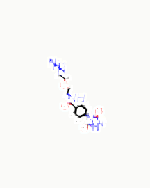 [N-]=[N+]=NCCOCCNC(=O)c1ccc(N2C(=O)N=NC2=O)cc1